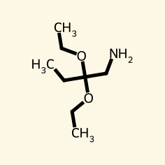 CCOC(CC)(CN)OCC